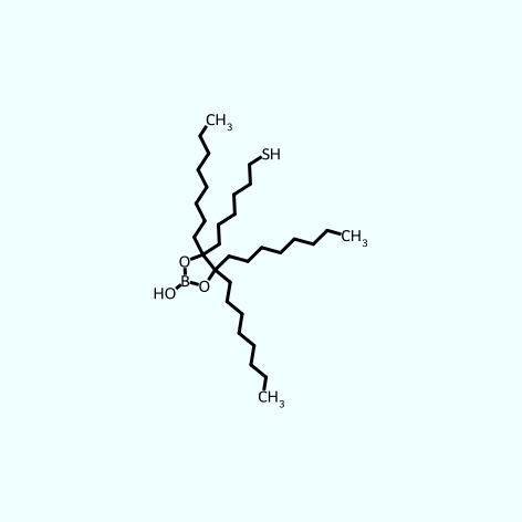 CCCCCCCCC1(CCCCCCS)OB(O)OC1(CCCCCCCC)CCCCCCCC